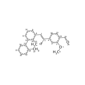 COc1cc(C(F)=Cc2cccc(-c3ccccc3C)c2C)ccc1C=O